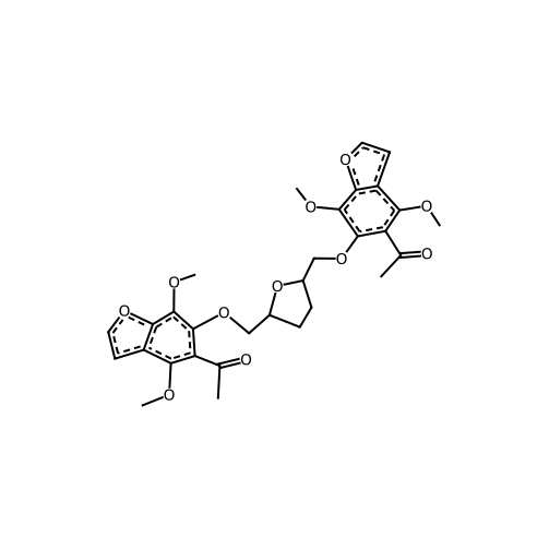 COc1c(C(C)=O)c(OCC2CCC(COc3c(C(C)=O)c(OC)c4ccoc4c3OC)O2)c(OC)c2occc12